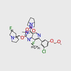 COCOc1cc(Cl)c([C@@H]2C[C@H]2C)c(-c2ncc3c(N4CC5CCC(C4)N5C(=O)OC(C)(C)C)nc(OC[C@@]45CCCN4C[C@H](F)C5)nc3c2F)c1